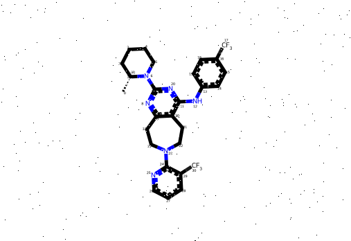 C[C@@H]1CCCCN1c1nc2c(c(Nc3ccc(C(F)(F)F)cc3)n1)CCN(c1ncccc1C(F)(F)F)CC2